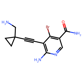 NCC1(C#Cc2c(N)ncc(C(N)=O)c2Br)CC1